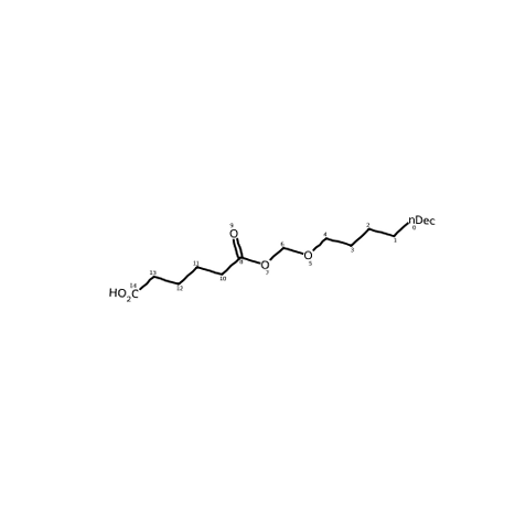 CCCCCCCCCCCCCCOCOC(=O)CCCCC(=O)O